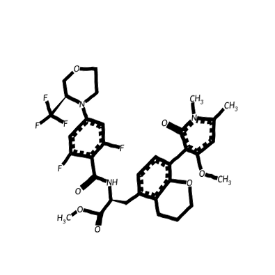 COC(=O)[C@H](Cc1ccc(-c2c(OC)cc(C)n(C)c2=O)c2c1CCCO2)NC(=O)c1c(F)cc(N2CCOC[C@@H]2C(F)(F)F)cc1F